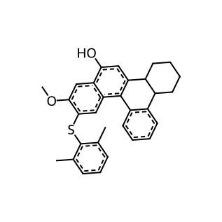 COc1cc2c(O)cc3c(c2cc1Sc1c(C)cccc1C)-c1ccccc1C1CCCCC31